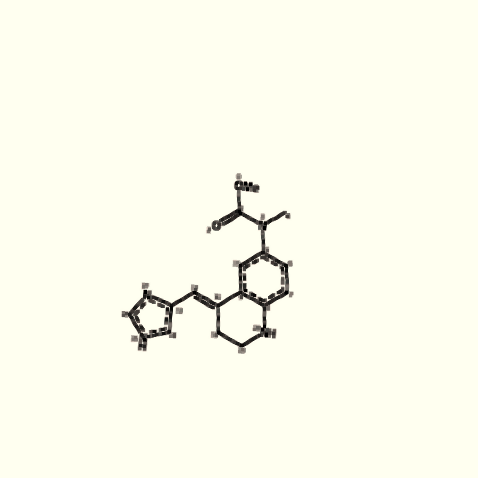 COC(=O)N(C)c1ccc2c(c1)/C(=C/c1c[nH]cn1)CCN2